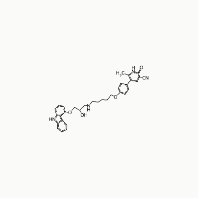 Cc1[nH]c(=O)c(C#N)cc1-c1ccc(OCCCCCNCC(O)COc2cccc3[nH]c4ccccc4c23)cc1